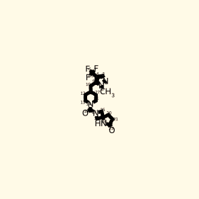 Cn1ncc(C(F)(F)F)c1CC1CCN(C(=O)N2CC3(CCC(=O)N3)C2)CC1